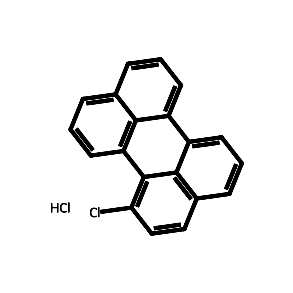 Cl.Clc1ccc2cccc3c4cccc5cccc(c1c23)c54